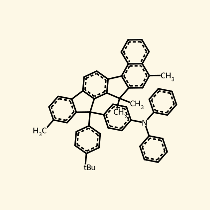 Cc1ccc2c(c1)C(c1ccc(N(c3ccccc3)c3ccccc3)cc1)(c1ccc(C(C)(C)C)cc1)c1c-2ccc2c1C(C)(C)c1cc(C)c3ccccc3c1-2